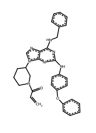 C=CC(=O)N1CCCC(n2cnc3c(NCc4ccccc4)nc(Nc4ccc(Oc5ccccc5)cc4)nc32)C1